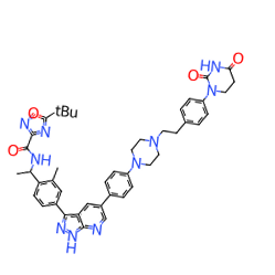 Cc1cc(-c2n[nH]c3ncc(-c4ccc(N5CCN(CCc6ccc(N7CCC(=O)NC7=O)cc6)CC5)cc4)cc23)ccc1C(C)NC(=O)c1noc(C(C)(C)C)n1